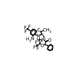 CC(C)[C@@H](CNC(=O)C(OC(=O)C(F)(F)F)c1ccccc1)Nc1ccc(C(F)(F)F)cc1N